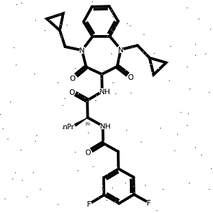 CCC[C@H](NC(=O)Cc1cc(F)cc(F)c1)C(=O)NC1C(=O)N(CC2CC2)c2ccccc2N(CC2CC2)C1=O